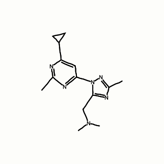 Cc1nc(C2CC2)cc(-n2nc(C)nc2CN(C)C)n1